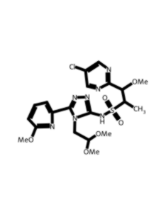 COc1cccc(-c2nnc(NS(=O)(=O)C(C)C(OC)c3ncc(Cl)cn3)n2CC(OC)OC)n1